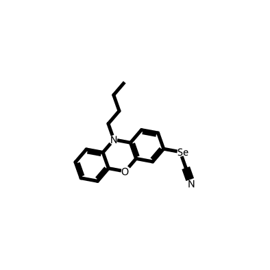 CCCCN1c2ccccc2Oc2cc([Se]C#N)ccc21